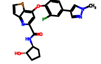 Cn1cc(-c2ccc(Oc3cc(C(=O)N[C@H]4CCC[C@@H]4O)nc4ccsc34)c(F)c2)cn1